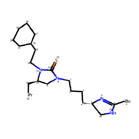 CCC(C)C1=N[C@@H](CCCCN2C[C@@H](CC(C)C)N(CCC3CCCCC3)C2=S)CN1